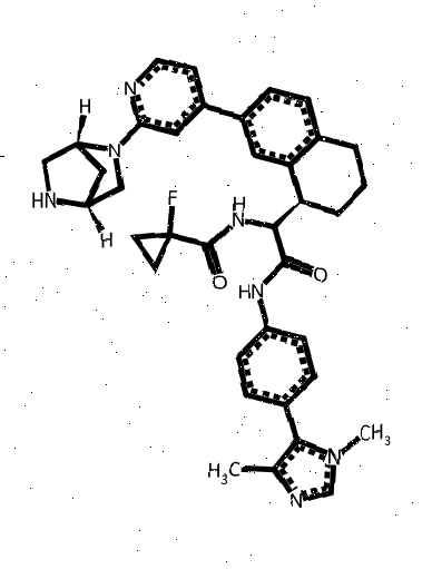 Cc1ncn(C)c1-c1ccc(NC(=O)C(NC(=O)C2(F)CC2)[C@@H]2CCCc3ccc(-c4ccnc(N5C[C@H]6C[C@@H]5CN6)c4)cc32)cc1